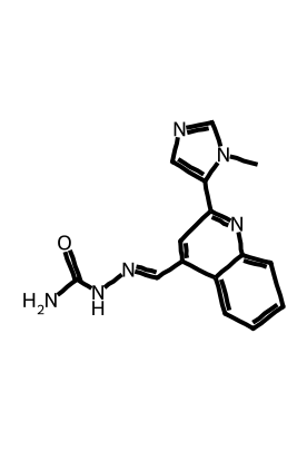 Cn1cncc1-c1cc(/C=N/NC(N)=O)c2ccccc2n1